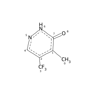 Cc1c(C(F)(F)F)cn[nH]c1=O